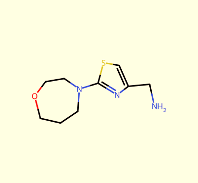 NCc1csc(N2CCCOCC2)n1